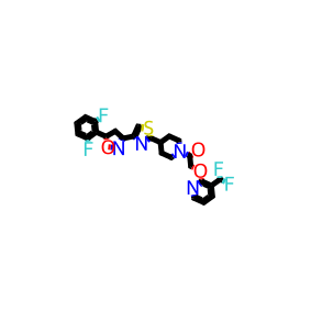 O=C(COc1ncccc1C(F)F)N1CCC(c2nc(C3=NOC(c4c(F)cccc4F)C3)cs2)CC1